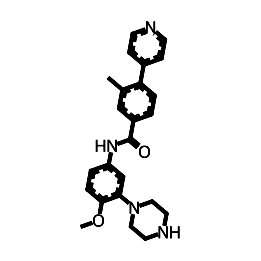 COc1ccc(NC(=O)c2ccc(-c3ccncc3)c(C)c2)cc1N1CCNCC1